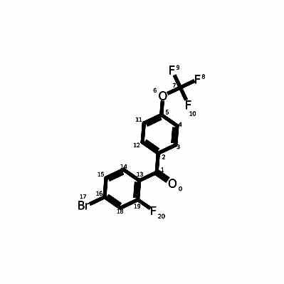 O=C(c1ccc(OC(F)(F)F)cc1)c1ccc(Br)cc1F